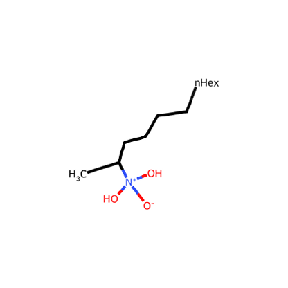 CCCCCCCCCCC(C)[N+]([O-])(O)O